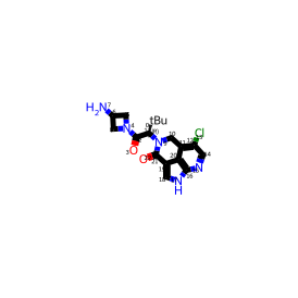 CC(C)(C)[C@H](C(=O)N1CC(N)C1)N1Cc2c(Cl)cnc3[nH]cc(c23)C1=O